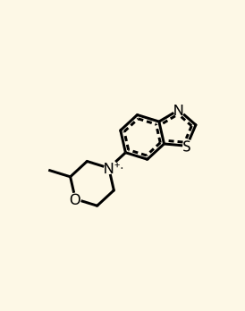 CC1C[N+](c2ccc3ncsc3c2)CCO1